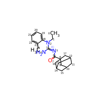 CCN(/C(N)=N/C(=O)C12CC3CC(CC(C3)C1)C2)c1ccccc1C